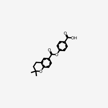 CC1(C)CCc2cc(C(=O)Oc3ccc(C(=O)O)cc3)ccc2O1